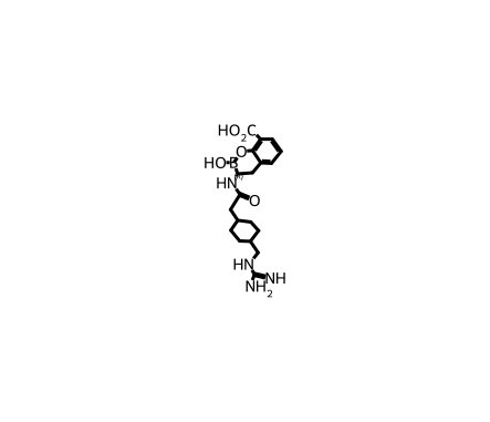 N=C(N)NCC1CCC(CC(=O)N[C@H]2Cc3cccc(C(=O)O)c3OB2O)CC1